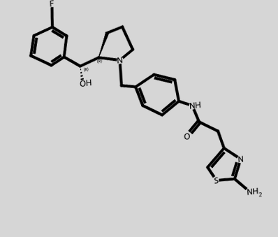 Nc1nc(CC(=O)Nc2ccc(CN3CCC[C@@H]3[C@H](O)c3cccc(F)c3)cc2)cs1